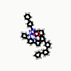 c1ccc(-c2ccc(-c3nc(-c4ccccc4)nc(-n4c5ccccc5c5ccc6c7ccccc7n(-c7ccccc7-c7ccc(-c8cccc(-c9cccc(-c%10ccccc%10)c9)c8)cc7)c6c54)n3)cc2)cc1